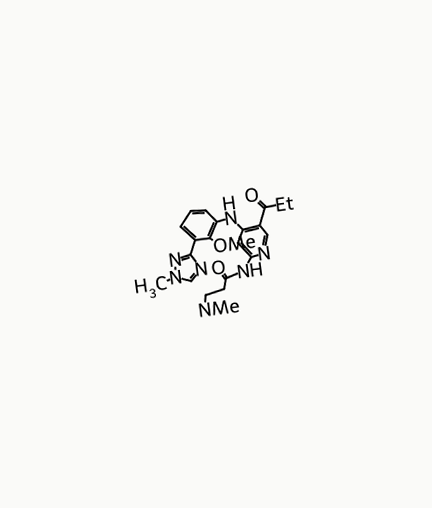 CCC(=O)c1cnc(NC(=O)CCNC)cc1Nc1cccc(-c2ncn(C)n2)c1OC